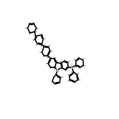 C1=CCCC(N2c3cc(N(C4=CCCC=C4)c4ccccc4)ccc3C3=CC(C4=CC=C(c5ccc(C6CC=CCC6)cc5)CC4)=CCC32)=C1